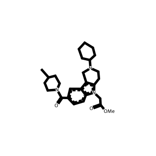 COC(=O)Cn1c2c(c3cc(C(=O)N4CCC(C)CC4)ccc31)CN(C1CCCCC1)CC2